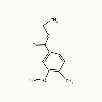 CCOC(=O)c1ccc(C)c(OC)c1